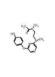 CC(=O)N(C)CCN(C)c1cncc(Oc2ccc(O)cc2)n1